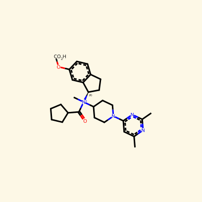 Cc1cc(N2CCC([N+](C)(C(=O)C3CCCC3)[C@@H]3CCc4ccc(OC(=O)O)cc43)CC2)nc(C)n1